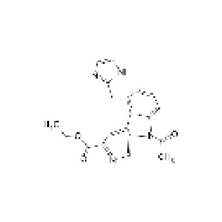 CCOC(=O)c1cc2c3c(Cc4ncc[nH]4)cccc3n(C(C)=O)c2cn1